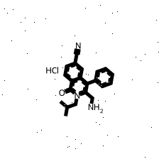 CC(C)Cn1c(CN)c(-c2ccccc2)c2cc(C#N)ccc2c1=O.Cl